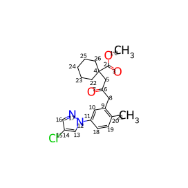 COC(=O)C1(CC(=O)Cc2cc(-n3cc(Cl)cn3)ccc2C)CCCCC1